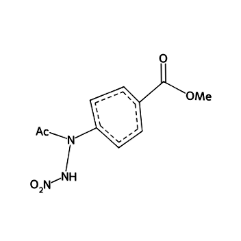 COC(=O)c1ccc(N(N[N+](=O)[O-])C(C)=O)cc1